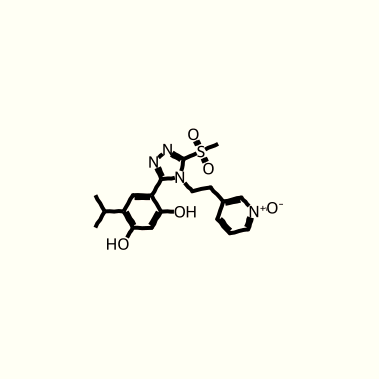 CC(C)c1cc(-c2nnc(S(C)(=O)=O)n2CCc2ccc[n+]([O-])c2)c(O)cc1O